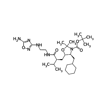 CC(C)[C@H](CC1OC(C)(C)N(C(=O)OC(C)(C)C)[C@H]1CC1CCCCC1)C(=O)NCCNc1noc(N)n1